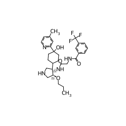 CCCO[C@H]1CNC[C@@]1(NC(=O)CNC(=O)c1cccc(C(F)(F)F)c1)C1CCC(O)(c2cc(C)ccn2)CC1